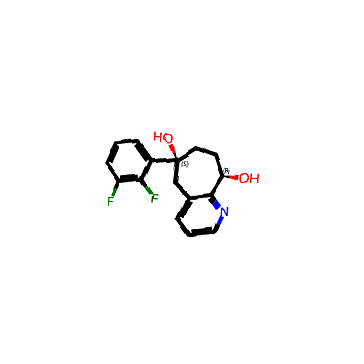 O[C@@H]1CC[C@@](O)(c2cccc(F)c2F)Cc2cccnc21